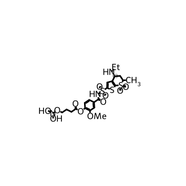 CCN[C@H]1CC(C)S(=O)(=O)c2sc(S(=O)(=O)NC(=O)c3ccc(OC(=O)CCCON(O)O)c(OC)c3)cc21